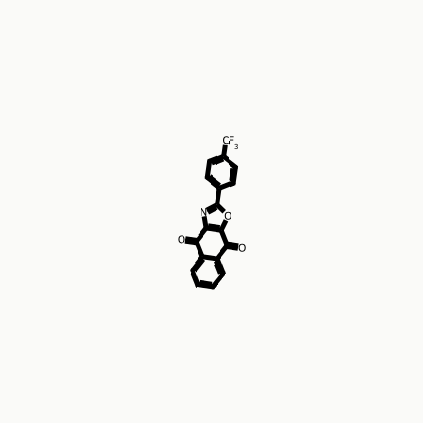 O=C1c2ccccc2C(=O)c2oc(-c3ccc(C(F)(F)F)cc3)nc21